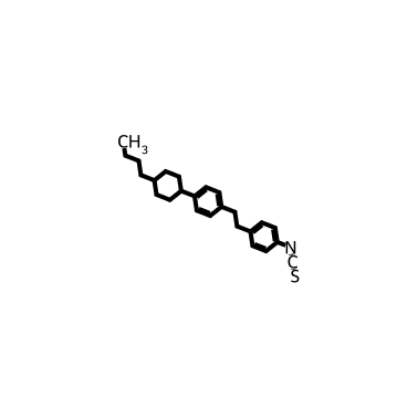 CCCCC1CCC(c2ccc(CCc3ccc(N=C=S)cc3)cc2)CC1